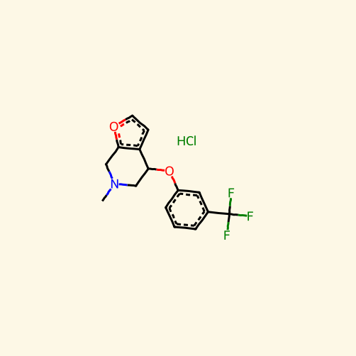 CN1Cc2occc2C(Oc2cccc(C(F)(F)F)c2)C1.Cl